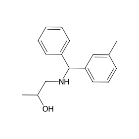 Cc1cccc(C(NCC(C)O)c2ccccc2)c1